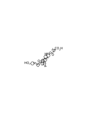 CC1([C@@H]2CC[C@]3(C(=O)N4CCC[C@H]4CN4CCC(CO)CC4)CC[C@]4(C)[C@H](CC[C@@]5(C)[C@@]4(C)CC[C@H]4C(C)(C)[C@@H](OC(=O)[C@H]6C[C@@H](C(=O)O)C6(C)C)CC[C@@]45C)[C@@H]23)CC1